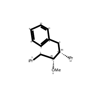 CO[C@H](CC(C)C)[C@H](Cc1ccccc1)C(C)C